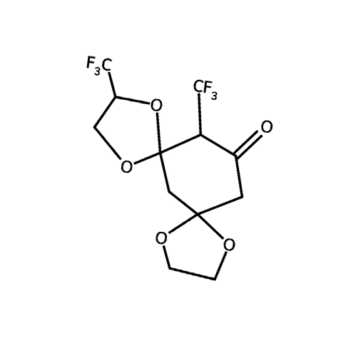 O=C1CC2(CC3(OCC(C(F)(F)F)O3)C1C(F)(F)F)OCCO2